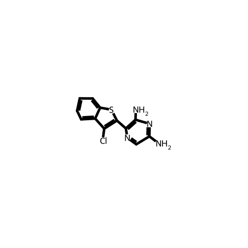 Nc1cnc(-c2sc3ccccc3c2Cl)c(N)n1